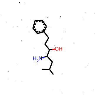 CC(C)CC(N)C(O)[CH]Cc1ccccc1